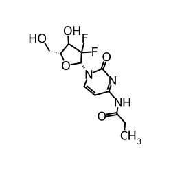 CCC(=O)Nc1ccn([C@@H]2O[C@H](CO)C(O)C2(F)F)c(=O)n1